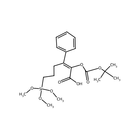 CO[Si](CCCC(=C(OC(=O)OC(C)(C)C)C(=O)O)c1ccccc1)(OC)OC